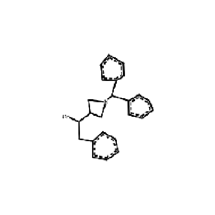 C[C](C)C(Cc1ccccc1)C1CN(C(c2ccccc2)c2ccccc2)C1